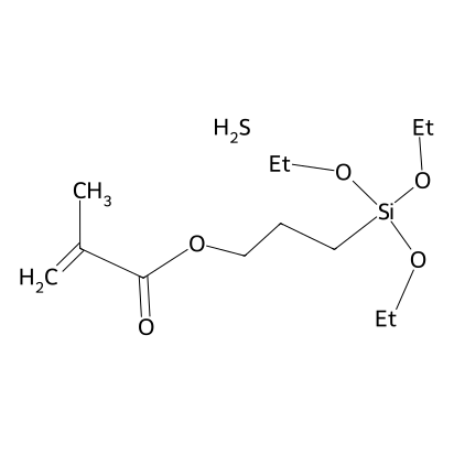 C=C(C)C(=O)OCCC[Si](OCC)(OCC)OCC.S